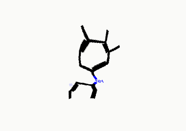 C=C(/C=C\C)NC1=CC(C)=C(C)C(C)=CC1